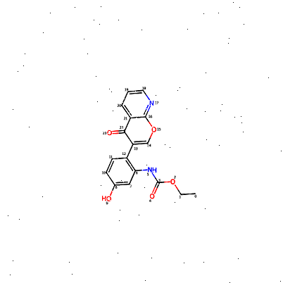 CCOC(=O)Nc1cc(O)ccc1-c1coc2ncccc2c1=O